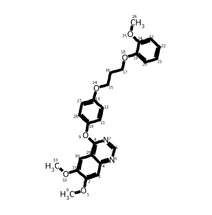 COc1cc2ncnc(Oc3ccc(OCCCOc4ccccc4OC)cc3)c2cc1OC